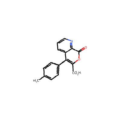 Cc1ccc(-c2c(C(=O)O)oc(=O)c3ncccc23)cc1